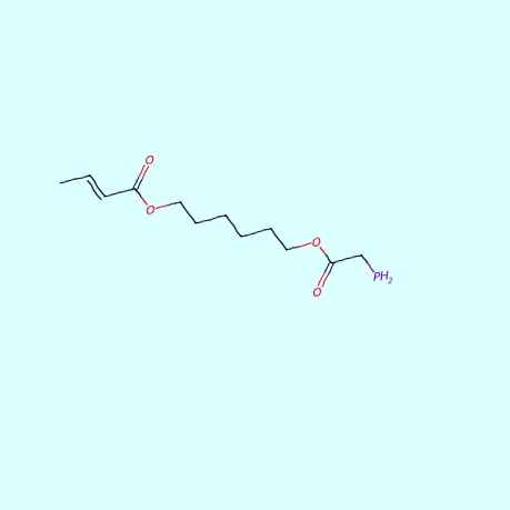 CC=CC(=O)OCCCCCCOC(=O)CP